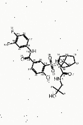 CC(C)(O)CNC(=O)C[C@]1(O)C2CCC1C[C@@H](S(=O)(=O)c1cc(C(=O)Nc3ccc(F)c(F)c3)ccc1Cl)C2